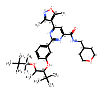 [CH2]C(O[Si](C)(C)C(C)(C)C)C(Oc1cccc(-c2nc(C(=O)NCC3CCOCC3)cc(-c3c(C)noc3C)n2)c1)C(C)(C)C